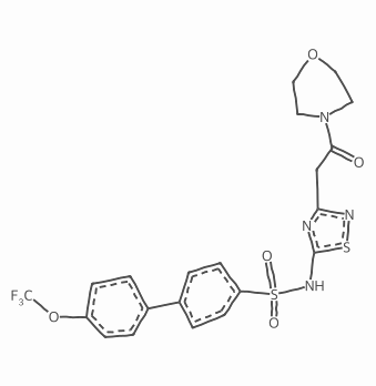 O=C(Cc1nsc(NS(=O)(=O)c2ccc(-c3ccc(OC(F)(F)F)cc3)cc2)n1)N1CCOCC1